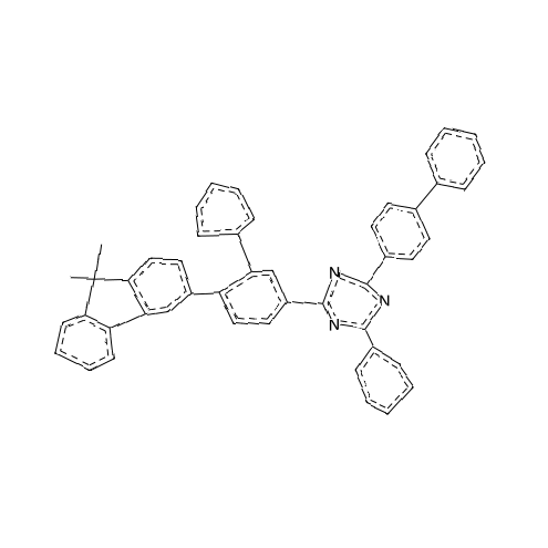 CC1(C)c2ccccc2-c2cc(-c3ccc(-c4nc(-c5ccccc5)nc(-c5ccc(-c6ccccc6)cc5)n4)cc3-c3ccccc3)ccc21